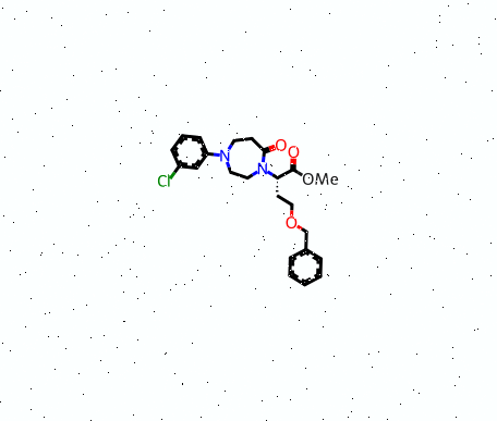 COC(=O)[C@H](CCOCc1ccccc1)N1CCN(c2cccc(Cl)c2)CCC1=O